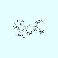 CC(O)C(C)(C)CC(C)(C)N